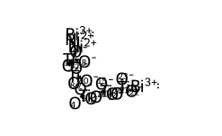 [Bi+3].[Bi+3].[Ni+2].[Ni+2].[O]=[Ti]([O-])[O-].[O]=[Ti]([O-])[O-].[O]=[Ti]([O-])[O-].[O]=[Ti]([O-])[O-].[O]=[Ti]([O-])[O-]